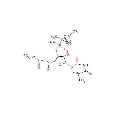 CCOC(=O)C[C@H](O)[C@H]1O[C@@H](n2cc(C)c(=O)[nH]c2=O)[C@@H](OCCOC)C1O[Si](C)(C)C(C)(C)C